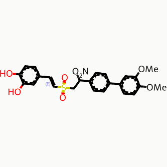 COc1ccc(-c2ccc(C(CS(=O)(=O)/C=C/c3ccc(O)c(O)c3)[N+](=O)[O-])cc2)cc1OC